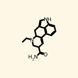 CCN1CC(C(N)=O)C=C2c3cccc4[nH]cc(c34)CC21